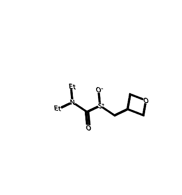 CCN(CC)C(=O)[S+]([O-])CC1COC1